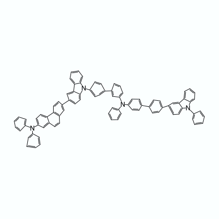 c1ccc(N(c2ccc(-c3ccc(-c4ccc5c(c4)c4ccccc4n5-c4ccccc4)cc3)cc2)c2cccc(-c3ccc(-n4c5ccccc5c5cc(-c6ccc7c(ccc8cc(N(c9ccccc9)c9ccccc9)ccc87)c6)ccc54)cc3)c2)cc1